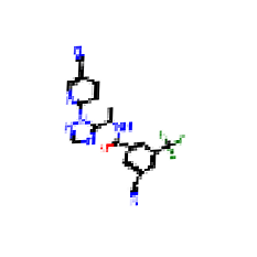 CC(NC(=O)c1cc(C#N)cc(C(F)(F)F)c1)c1ncnn1-c1ccc(C#N)cn1